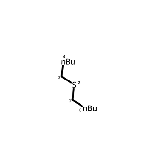 [CH2]CCCCSCCCCC